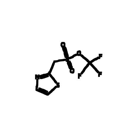 O=S(=O)(Cc1nccs1)OC(F)(F)F